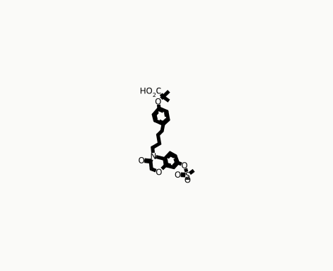 CC(C)(Oc1ccc(CCCCN2C(=O)COc3cc(OS(C)(=O)=O)ccc32)cc1)C(=O)O